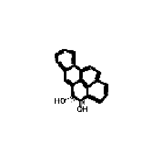 O[C@@H]1c2cccc3ccc4c5ccccc5cc(c4c23)[C@H]1O